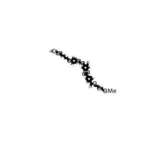 C=C=COOCCCCOc1ccc(OCOc2ccc(OC(=O)c3ccc(C(=C)OCCOCCOC)cc3)cc2C)cc1